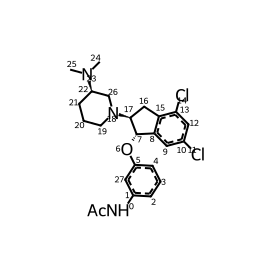 CC(=O)Nc1cccc(O[C@H]2c3cc(Cl)cc(Cl)c3C[C@@H]2N2CCC[C@@H](N(C)C)C2)c1